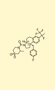 CC1CS(=O)(=O)CCN1C(=O)N1CC[C@@]2(Cc3ccc(F)cc3)c3ccc(C(C)(F)C(F)(F)F)cc3CC[C@@H]12